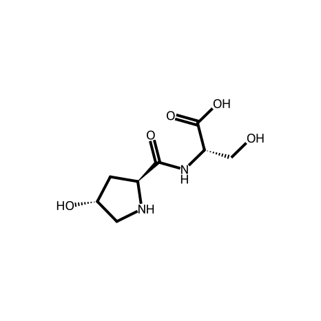 O=C(O)[C@H](CO)NC(=O)[C@@H]1C[C@@H](O)CN1